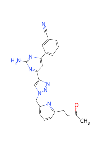 CC(=O)CCc1cccc(Cn2cc(-c3cc(-c4cccc(C#N)c4)nc(N)n3)nn2)n1